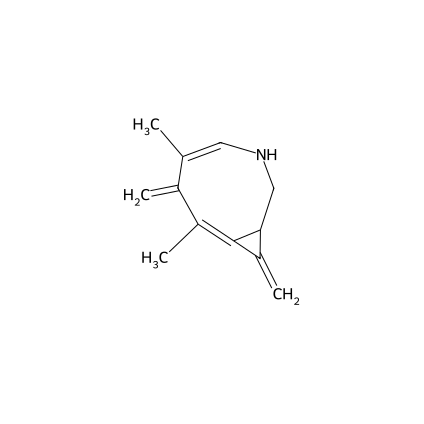 C=C1/C(C)=C\NCC2C(=C)/C2=C/1C